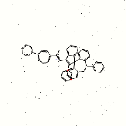 C/C(=C\C1=C(c2ccccc2)C2(c3ccccc3CN(c3ccccc3)c3ccccc32)c2ccccc21)C1=CCC=C(c2ccccc2)C=C1